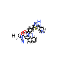 CN(C#N)C(=O)[C@H](Cc1ccc2ccccc2c1)NC(=O)c1ccc(-c2cnc(Nc3ccncc3)s2)cc1